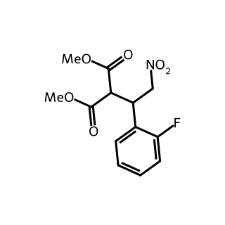 COC(=O)C(C(=O)OC)C(C[N+](=O)[O-])c1ccccc1F